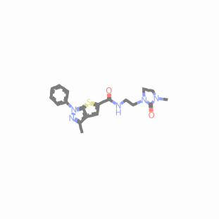 Cc1nn(-c2ccccc2)c2sc(C(=O)NCCN3CCN(C)C3=O)cc12